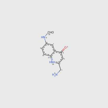 NCc1cc(=O)c2cc(NC=O)ccc2[nH]1